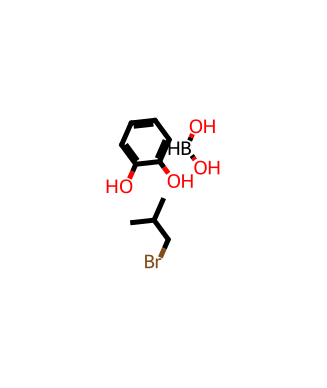 CC(C)CBr.OBO.Oc1ccccc1O